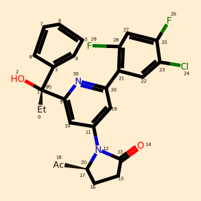 CC[C@@](O)(c1ccccc1)c1cc(N2C(=O)CC[C@H]2C(C)=O)cc(-c2cc(Cl)c(F)cc2F)n1